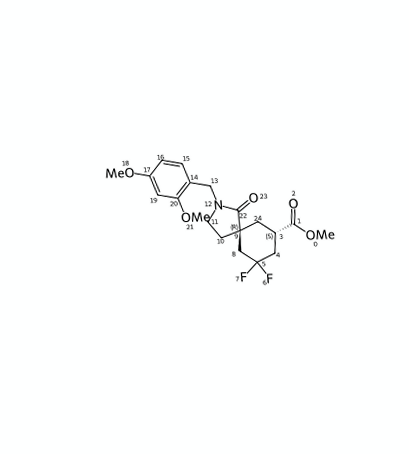 COC(=O)[C@@H]1CC(F)(F)C[C@]2(CCN(Cc3ccc(OC)cc3OC)C2=O)C1